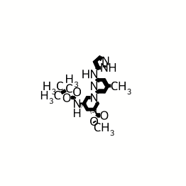 COC(=O)[C@H]1C[C@@H](NC(=O)OC(C)(C)C)CN(c2cc(C)cc(Nc3ccn[nH]3)n2)C1